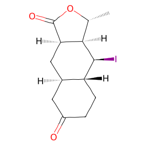 C[C@H]1OC(=O)[C@@H]2C[C@@H]3CC(=O)CC[C@H]3[C@H](I)[C@H]12